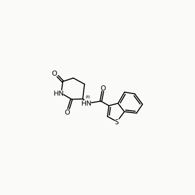 O=C1CC[C@@H](NC(=O)c2csc3ccccc23)C(=O)N1